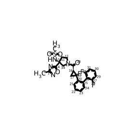 Cc1noc([C@]2(NS(C)(=O)=O)CCN(C(=O)[C@@H]3C[C@@]3(F)c3ccccc3-c3c(F)cccc3F)C2)n1